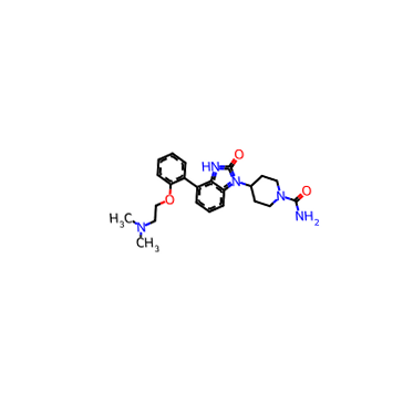 CN(C)CCOc1ccccc1-c1cccc2c1[nH]c(=O)n2C1CCN(C(N)=O)CC1